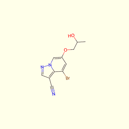 CC(O)COc1cc(Br)c2c(C#N)cnn2c1